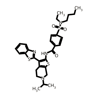 CCCCN(CC)S(=O)(=O)c1ccc(C(=O)Nc2sc3c(c2-c2nc4ccccc4s2)CCN(C(C)C)C3)cc1